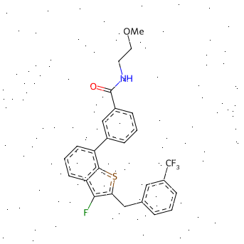 COCCNC(=O)c1cccc(-c2cccc3c(F)c(Cc4cccc(C(F)(F)F)c4)sc23)c1